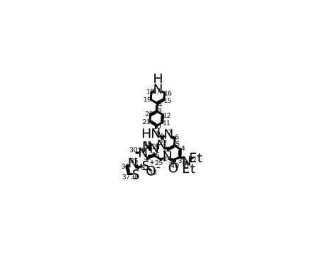 CCN(CC)c1cc2cnc(Nc3ccc(C4=CCNCC4)cc3)nc2n(Cc2nnn(C)c2[S+]([O-])c2nccs2)c1=O